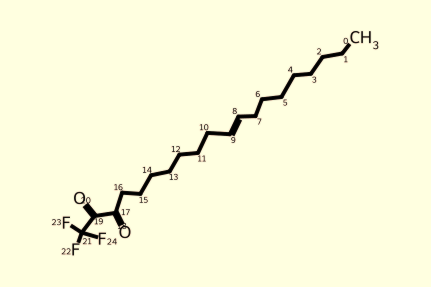 CCCCCCCCC=CCCCCCCCC(=O)C(=O)C(F)(F)F